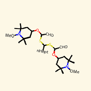 CCCCCCCC(SC(C=O)OC1CC(C)(C)N(OC)C(C)(C)C1)SC(C=O)OC1CC(C)(C)N(OC)C(C)(C)C1